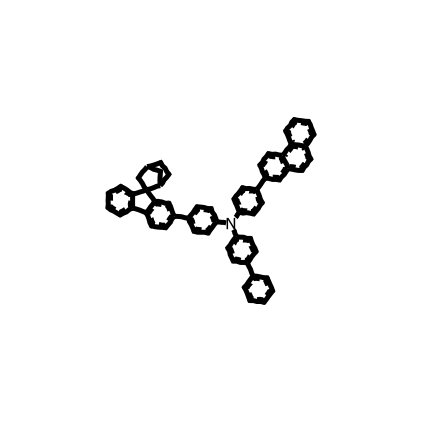 c1ccc(-c2ccc(N(c3ccc(-c4ccc5c(c4)C4(CC6CCC4C6)c4ccccc4-5)cc3)c3ccc(-c4ccc5c(ccc6ccccc65)c4)cc3)cc2)cc1